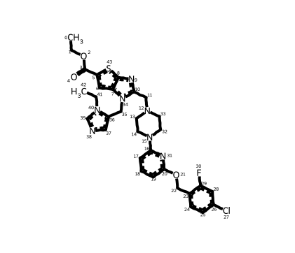 CCOC(=O)c1cc2c(nc(CN3CCN(c4cccc(OCc5ccc(Cl)cc5F)n4)CC3)n2Cc2cncn2CC)s1